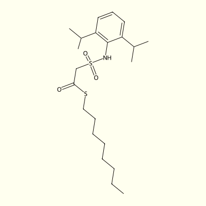 CCCCCCCCSC(=O)CS(=O)(=O)Nc1c(C(C)C)cccc1C(C)C